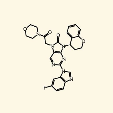 O=C(Cn1c(=O)n([C@@H]2CCOc3ccccc32)c2nc(-n3cnc4ccc(F)cc43)ncc21)N1CCOCC1